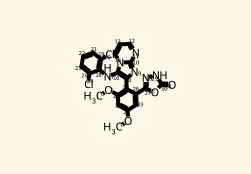 COc1cc(OC)c(-c2nc3ncccn3c2Nc2c(Cl)cccc2Cl)c(-c2n[nH]c(=O)o2)c1